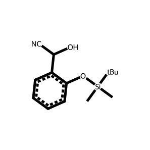 CC(C)(C)[Si](C)(C)Oc1ccccc1C(O)C#N